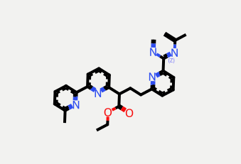 C=N/C(=N\C(=C)C)c1cccc(CCC(C(=O)OCC)c2cccc(-c3cccc(C)n3)n2)n1